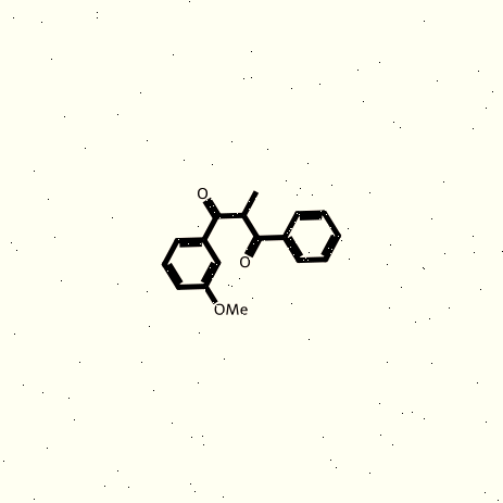 COc1cccc(C(=O)C(C)C(=O)c2ccccc2)c1